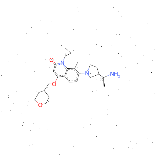 Cc1c(N2CCC([C@H](C)N)C2)ccc2c(OCC3CCOCC3)cc(=O)n(C3CC3)c12